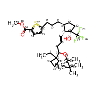 CCC1(C(C/C=C/[C@@H]2[C@@H](CCCc3ccc(C(=O)OC)s3)CC[C@@]2(O)C(F)(F)F)O[Si](C)(C)C(C)(C)C)CCC1